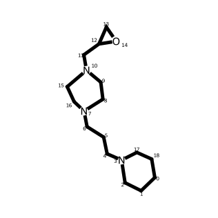 C1CCN(CCCN2CCN(CC3CO3)CC2)CC1